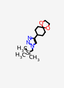 C[Si](C)(C)Cn1cc(C2CCC3(CC2)OCCO3)nn1